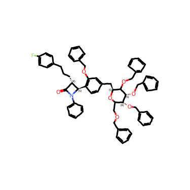 O=C1[C@H](CCCc2ccc(F)cc2)[C@@H](c2ccc(C[C@@H]3OC(COCc4ccccc4)[C@@H](OCc4ccccc4)[C@@H](OCc4ccccc4)C3OCc3ccccc3)cc2OCc2ccccc2)N1c1ccccc1